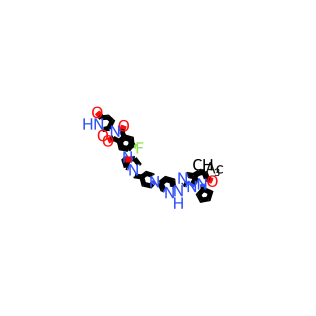 CC(=O)c1c(C)c2cnc(Nc3ccc(N4CCC(CN5CC6CC5CN6c5cc6c(cc5F)C(=O)N(C5CCC(=O)NC5=O)C6=O)CC4)cn3)nc2n(C2CCCC2)c1=O